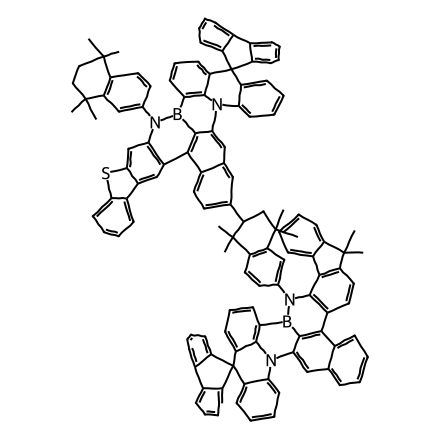 CC1(C)CCC(C)(C)c2cc(N3B4c5cccc6c5N(c5ccccc5C65c6ccccc6-c6ccccc65)c5cc6cc(C7CC(C)(C)c8cc(N9B%10c%11cccc%12c%11N(c%11ccccc%11C%12%11c%12ccccc%12-c%12ccccc%12%11)c%11cc%12ccccc%12c(c%11%10)-c%10ccc%11c(c%109)-c9ccccc9C%11(C)C)ccc8C7(C)C)ccc6c(c54)-c4cc5c(cc43)sc3ccccc35)ccc21